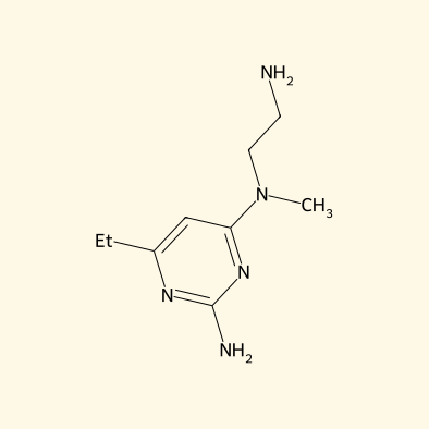 CCc1cc(N(C)CCN)nc(N)n1